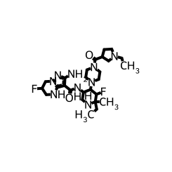 CCN1CCC(C(=O)N2CCN(C3C(NC(=O)c4c(N)nn5c4NCC(F)C5)CNC(C)(CC)C3F)CC2)C1